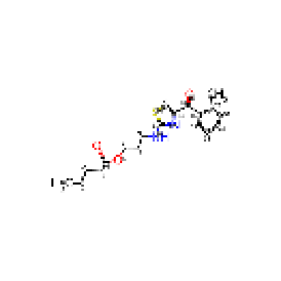 CCCCC(=O)OCCCNc1nc(C(=O)c2ccccc2C)cs1